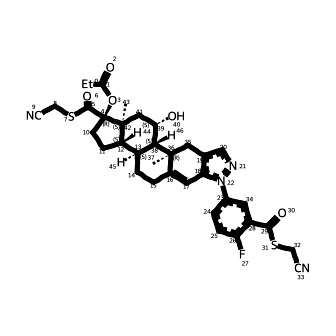 CCC(=O)O[C@]1(C(=O)SCC#N)CC[C@H]2[C@@H]3CCC4=Cc5c(cnn5-c5ccc(F)c(C(=O)SCC#N)c5)C[C@]4(C)[C@H]3[C@@H](O)C[C@@]21C